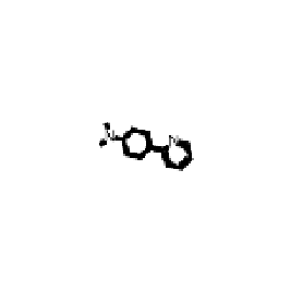 CN(C)C1CCC(c2ccccn2)CC1